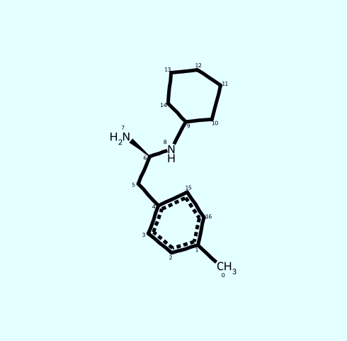 Cc1ccc(C[C@@H](N)NC2CCCCC2)cc1